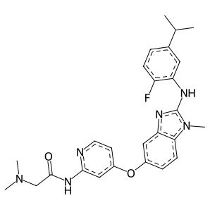 CC(C)c1ccc(F)c(Nc2nc3cc(Oc4ccnc(NC(=O)CN(C)C)c4)ccc3n2C)c1